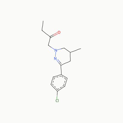 CCC(=O)CN1CC(C)CC(c2ccc(Cl)cc2)=N1